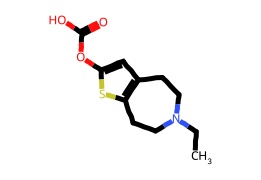 CCN1CCc2cc(OC(=O)O)sc2CC1